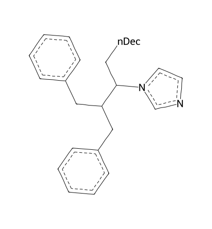 CCCCCCCCCCCC(C(Cc1ccccc1)Cc1ccccc1)n1ccnc1